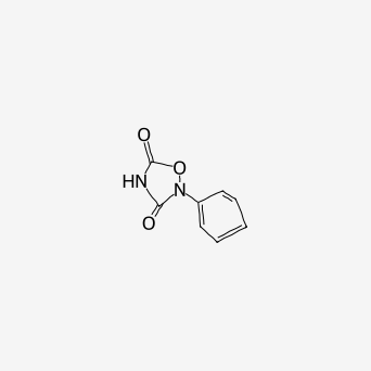 O=c1[nH]c(=O)n(-c2ccccc2)o1